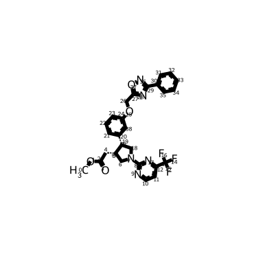 COC(=O)C[C@H]1CN(c2nccc(C(F)(F)F)n2)C[C@H]1c1cccc(OCc2nc(-c3ccccc3)no2)c1